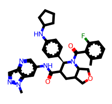 Cc1cccc(F)c1C(=O)N1C2COCC2CC(C(=O)Nc2cnc3cnn(C)c3c2)[C@H]1c1ccc(NC2CCCC2)cc1